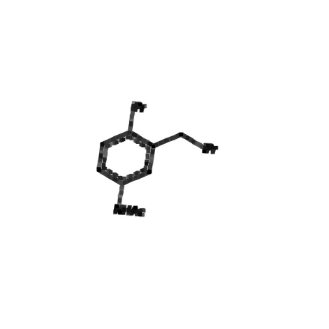 CC(=O)Nc1ccc(C(C)C)c(CC(C)C)c1